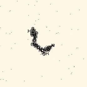 CC(C)(O)c1cc2nn([C@H]3CC[C@H](N4CCN(C(=O)C5CCN(c6ccc7c(c6)C(=O)N(C6CCC(=O)NC6=O)C7=O)CC5)CC4)CC3)cc2cc1NC(=O)c1ccc2cc(C#N)cnn12